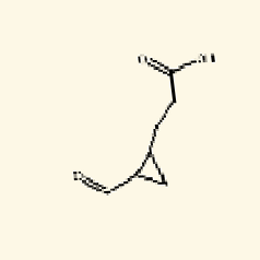 O=CC1CC1CCC(=O)O